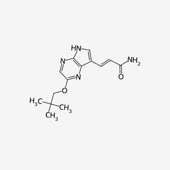 CC(C)(C)COc1cnc2[nH]cc(C=CC(N)=O)c2n1